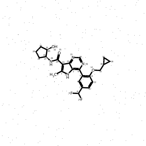 Cc1[nH]c2c(-c3cc(C(F)F)ccc3OCC3CC3)ncnc2c1C(=O)N[C@H]1CCC[C@H]1O